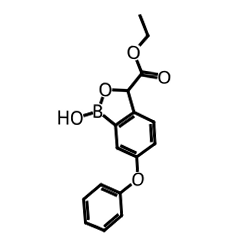 CCOC(=O)C1OB(O)c2cc(Oc3ccccc3)ccc21